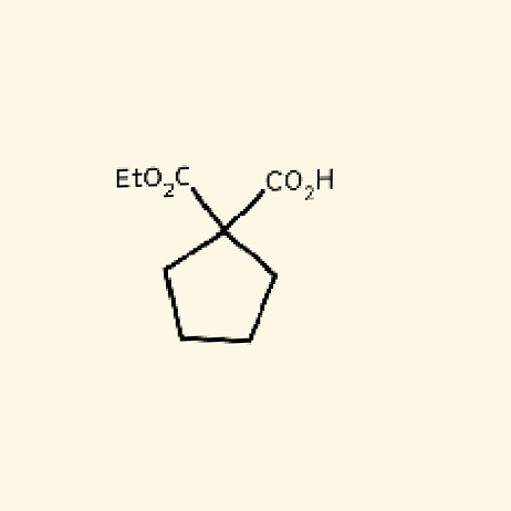 CCOC(=O)C1(C(=O)O)CCCC1